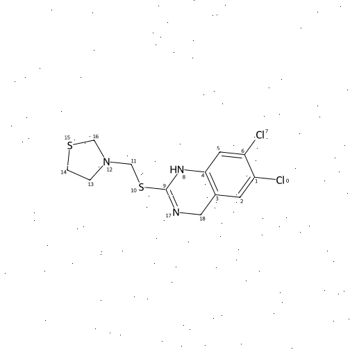 Clc1cc2c(cc1Cl)NC(SCN1CCSC1)=NC2